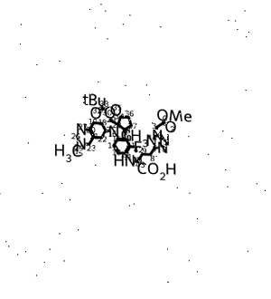 COC(=O)Cn1nnc(CC[C@H](Nc2ccc(N(C3CCC4=C(C3)CN(C)C=N4)C3(COC(=O)C(C)(C)C)C(=O)CCC3C)cc2F)C(=O)O)n1